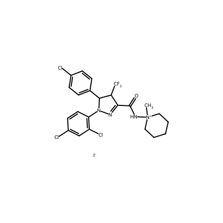 C[N+]1(NC(=O)C2=NN(c3ccc(Cl)cc3Cl)C(c3ccc(Cl)cc3)C2C(F)(F)F)CCCCC1.[I-]